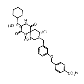 CCCCN1C(=O)[C@@H]([C@H](O)C2CCCCC2)NC(=O)C12CCN(Cc1cccc(OCc3ccc(C(=O)O)cc3)c1)CC2.Cl